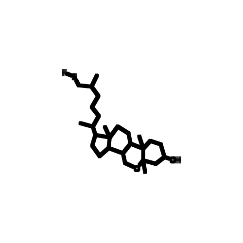 CC(CCCC(C)C1CCC2C3COC4(C)CC(O)CCC4(C)C3CCC12C)CSF